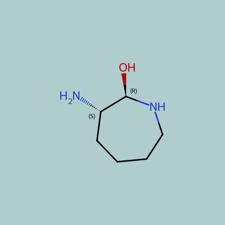 N[C@H]1CCCCN[C@@H]1O